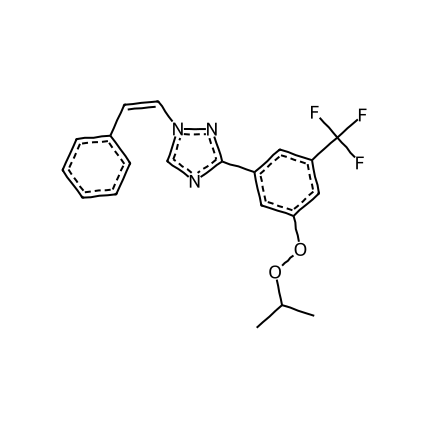 CC(C)OOc1cc(-c2ncn(/C=C\c3ccccc3)n2)cc(C(F)(F)F)c1